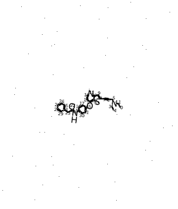 CCN(CC)CC#Cc1cc2nccc(Oc3ccc(NC(=O)Cc4ccccc4)cc3)c2s1